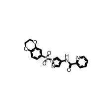 O=C(Nc1cnn(S(=O)(=O)c2ccc3c(c2)OCCO3)c1)c1ccccn1